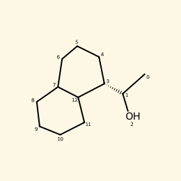 CC(O)[C@H]1CCCC2CCCCC21